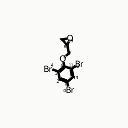 Brc1cc(Br)c(OCC2CO2)c(Br)c1